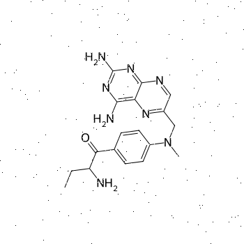 C[CH]C(N)C(=O)c1ccc(N(C)Cc2cnc3nc(N)nc(N)c3n2)cc1